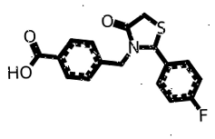 O=C(O)c1ccc(CN2C(=O)CSC2c2ccc(F)cc2)cc1